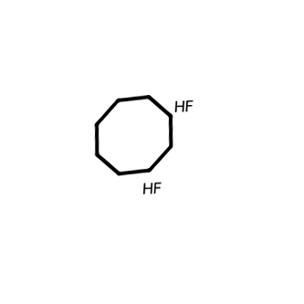 C1CCCCCCC1.F.F